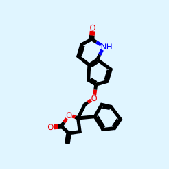 C=C1CC(COc2ccc3[nH]c(=O)ccc3c2)(c2ccccc2)OC1=O